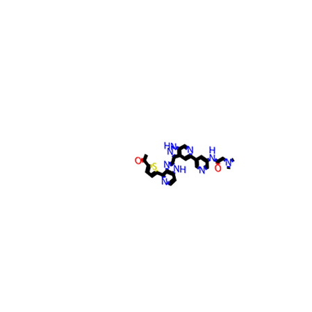 CC(=O)c1ccc(-c2nccc3[nH]c(-c4n[nH]c5cnc(-c6cncc(NC(=O)CN(C)C)c6)cc45)nc23)s1